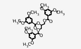 COc1cc(OC)cc(C(=O)OCC(COC(=O)c2cc(OC)cc(OC)c2)OC(=O)c2cc(OC)cc(OC)c2)c1